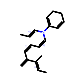 C=C(/C=C\C=C/N(/C=C/C)C1=CCCC=C1)/C(C)=C/C